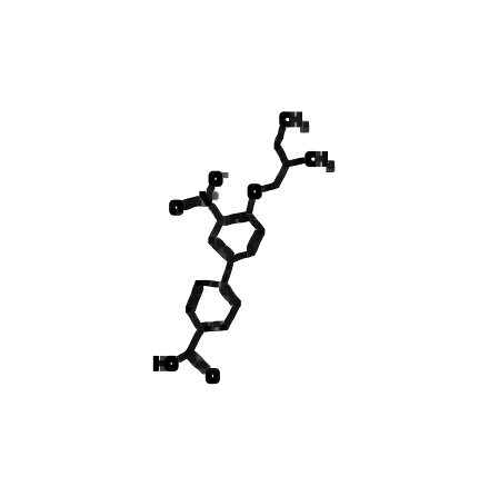 CCC(C)COc1ccc(-c2ccc(C(=O)O)cc2)cc1[N+](=O)[O-]